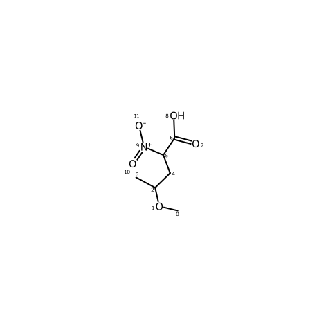 COC(C)CC(C(=O)O)[N+](=O)[O-]